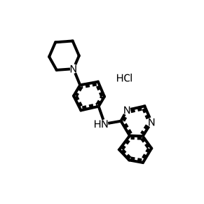 Cl.c1ccc2c(Nc3ccc(N4CCCCC4)cc3)ncnc2c1